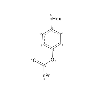 CCCCCCc1ccc(OC(=O)CCC)cc1